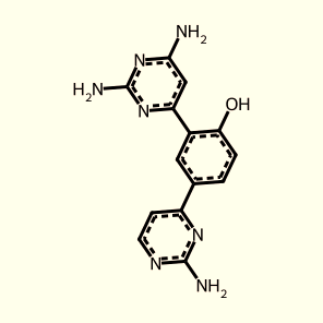 Nc1cc(-c2cc(-c3ccnc(N)n3)ccc2O)nc(N)n1